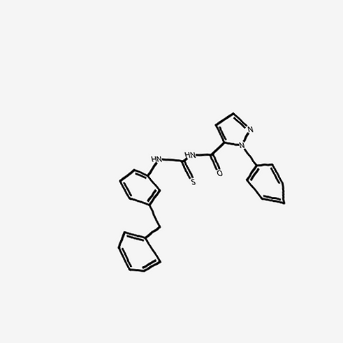 O=C(NC(=S)Nc1cccc(Cc2ccccc2)c1)c1ccnn1-c1ccccc1